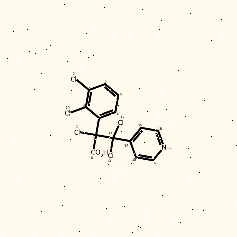 O=C(O)C(Cl)(c1cccc(Cl)c1Cl)C(Cl)(Cl)c1ccncc1